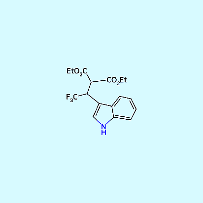 CCOC(=O)C(C(=O)OCC)C(c1c[nH]c2ccccc12)C(F)(F)F